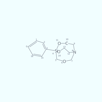 c1ccc([Si]23COCN(CCO2)CCO3)cc1